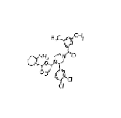 Cc1cc(C)cc(C(=O)N2CCN(C(C=O)OC(=O)N3CCCCC3N)C(c3ccc(Cl)c(Cl)c3)C2)c1